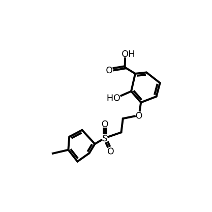 Cc1ccc(S(=O)(=O)CCOc2cccc(C(=O)O)c2O)cc1